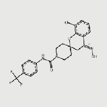 O=C(Nc1ccc(C(F)(F)F)cc1)N1CCC2(CC1)C/C(=N\O)c1cccc(Cl)c1O2